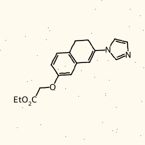 CCOC(=O)COc1ccc2c(c1)C=C(n1ccnc1)CC2